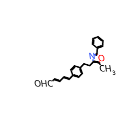 Cc1oc(-c2ccccc2)nc1CCc1ccc(C=CC=CC=O)cc1